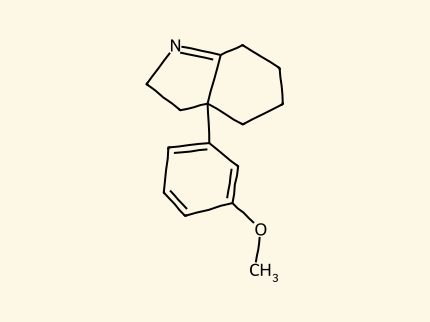 COc1cccc(C23CCCCC2=NCC3)c1